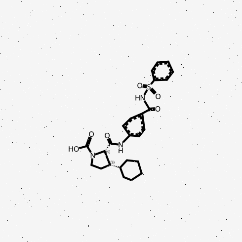 O=C(NS(=O)(=O)c1ccccc1)c1ccc(NC(=O)[C@@H]2[C@H](C3CCCCC3)CCN2C(=O)O)cc1